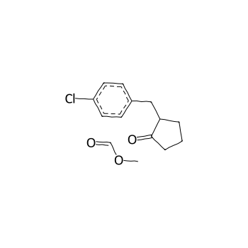 COC=O.O=C1CCCC1Cc1ccc(Cl)cc1